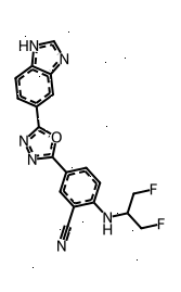 N#Cc1cc(-c2nnc(-c3ccc4[nH]cnc4c3)o2)ccc1NC(CF)CF